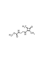 C=C1C(=O)C(C)=C1NCCNC(=O)OC